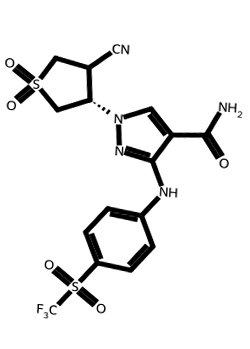 N#CC1CS(=O)(=O)C[C@H]1n1cc(C(N)=O)c(Nc2ccc(S(=O)(=O)C(F)(F)F)cc2)n1